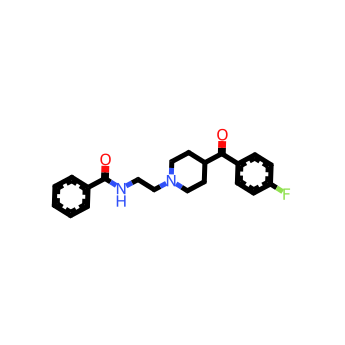 O=C(NCCN1CCC(C(=O)c2ccc(F)cc2)CC1)c1ccccc1